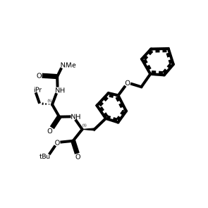 CNC(=O)N[C@@H](CC(C)C)C(=O)N[C@@H](Cc1ccc(OCc2ccccc2)cc1)C(=O)OC(C)(C)C